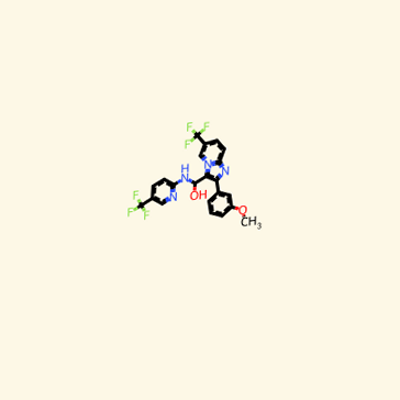 COc1cccc(-c2nc3ccc(C(F)(F)F)cn3c2C(O)Nc2ccc(C(F)(F)F)cn2)c1